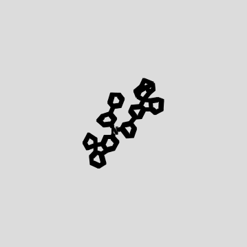 c1ccc(-c2cccc(N(c3cccc(-c4ccc5c(c4)-c4ccccc4C54C5CC6CC(C5)CC4C6)c3)c3ccc4c(c3)C3(CCCC3)c3ccccc3-4)c2)cc1